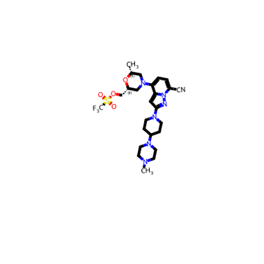 C[C@@H]1CN(c2ccc(C#N)n3nc(N4CCC(N5CCN(C)CC5)CC4)cc23)C[C@H](COS(=O)(=O)C(F)(F)F)O1